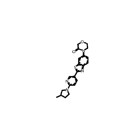 CC1CCN(c2ccc(-c3nc4ccc(N5CCOCC5=O)cc4s3)cn2)C1